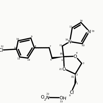 ClC[C@@H]1CO[C@@](CCc2ccc(Cl)cc2)(Cn2ccnc2)O1.O=[N+]([O-])O